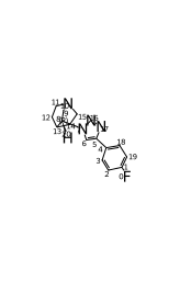 Fc1ccc(-c2cn([C@H]3CN4CCC3CC4)nn2)cc1